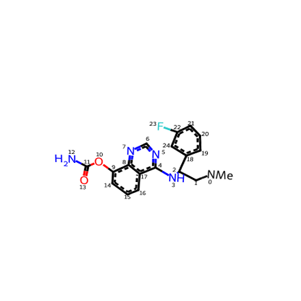 CNCC(Nc1ncnc2c(OC(N)=O)cccc12)c1cccc(F)c1